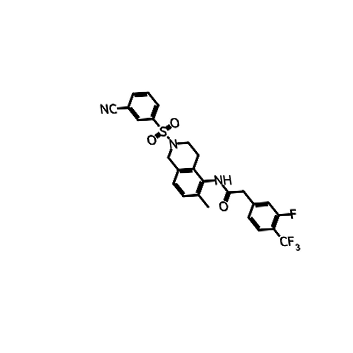 Cc1ccc2c(c1NC(=O)Cc1ccc(C(F)(F)F)c(F)c1)CCN(S(=O)(=O)c1cccc(C#N)c1)C2